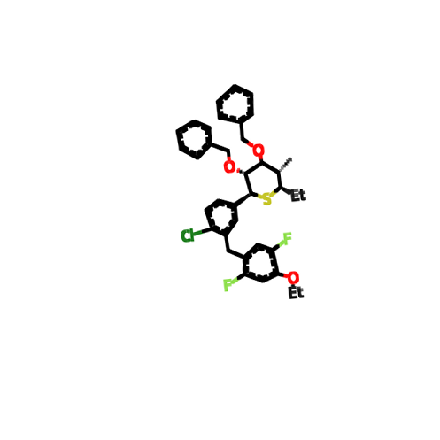 CCOc1cc(F)c(Cc2cc([C@@H]3S[C@H](CC)[C@@H](C)[C@H](OCc4ccccc4)[C@H]3OCc3ccccc3)ccc2Cl)cc1F